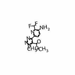 COC(=O)c1c(-c2ccc(N)c(C(F)F)n2)nnn1C